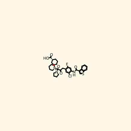 O=C(Nc1cc(F)c(CC(=O)C(O[C@H]2CC[C@H](C(=O)O)CC2)(N2CCCCC2)N2CCCC2)cc1Cl)c1csc2ccccc12